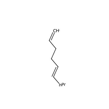 [CH]=CCCC=CCC[CH2]